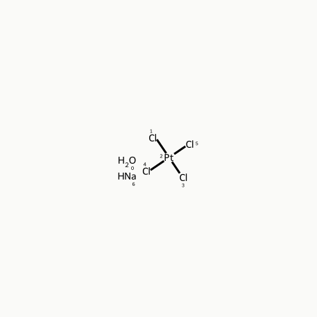 O.[Cl][Pt]([Cl])([Cl])[Cl].[NaH]